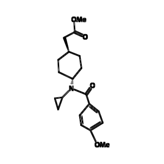 COC(=O)C[C@H]1CC[C@H](N(C(=O)c2ccc(OC)cc2)C2CC2)CC1